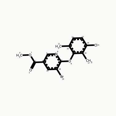 COC(=O)c1cnc(Oc2c(C)ccc(Cl)c2C)c(Br)c1